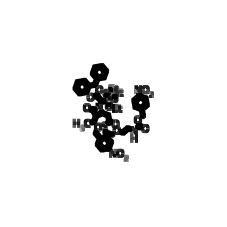 CCOP(OCC)(OCC)=C(C(=O)OC(c1ccccc1)c1ccccc1)N1C(=O)C(C(C)OCc2ccc([N+](=O)[O-])cc2)C1CC(=O)SCCOCCNC(=O)OCc1ccc([N+](=O)[O-])cc1